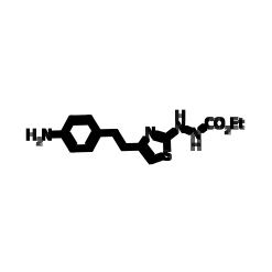 CCOC(=O)NNc1nc(CCc2ccc(N)cc2)cs1